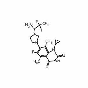 Cc1c(F)c(N2CCC(C(N)C(F)(F)C(F)(F)F)C2)c(C)c2c1c(=O)[nH]c(=O)n2C1CC1